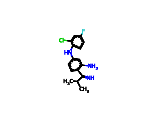 CC(C)C(=N)c1ccc(Nc2ccc(F)cc2Cl)cc1N